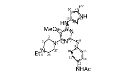 CCN1CCN(c2nc(Sc3ccc(NC(C)=O)cc3)nc(Nc3cc(C)[nH]n3)c2OC)CC1